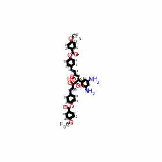 Nc1cc(N)cc(C(CC(=O)/C=C/c2ccc(OC(=O)c3ccc(OC(F)(F)F)cc3)cc2)C(O)(O)C(=O)/C=C/c2ccc(OC(=O)c3ccc(OC(F)(F)F)cc3)cc2)c1